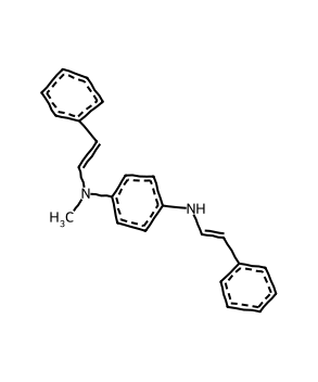 CN(/C=C/c1ccccc1)c1ccc(N/C=C/c2ccccc2)cc1